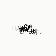 Nc1nc2cc(C[C@@H]3CC[C@]4(O)C(O)[C@H](n5ccc6c(N)nc(Cl)nc65)O[C@H]34)ccc2cc1Cl